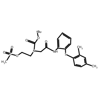 Cc1ccc(Sc2ccccc2NC(=O)CN(CCOS(C)(=O)=O)C(=O)OC(C)(C)C)c(C)c1